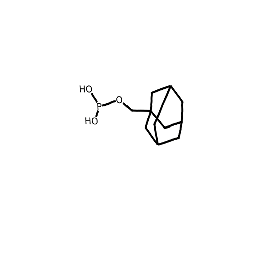 OP(O)OCC12CC3CC(CC(C3)C1)C2